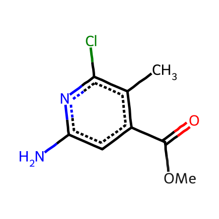 COC(=O)c1cc(N)nc(Cl)c1C